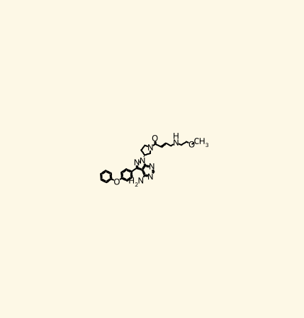 COCCNC/C=C/C(=O)N1CC[C@@H](n2nc(-c3ccc(Oc4ccccc4)cc3)c3c(N)ncnc32)C1